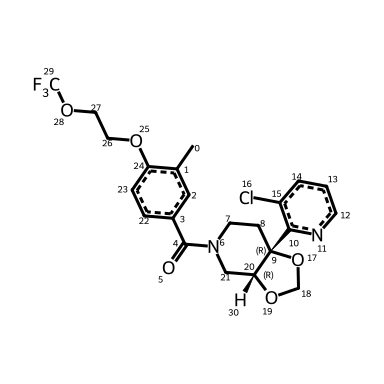 Cc1cc(C(=O)N2CC[C@]3(c4ncccc4Cl)OCO[C@@H]3C2)ccc1OCCOC(F)(F)F